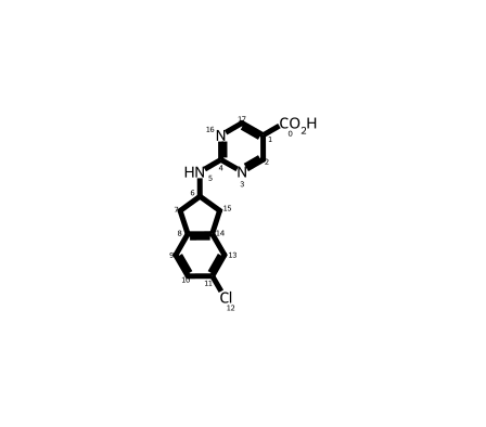 O=C(O)c1cnc(NC2Cc3ccc(Cl)cc3C2)nc1